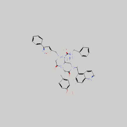 O=C1[C@H](Cc2ccc(O)cc2)N2C(=O)CN(Cc3cc(-c4ccccc4)no3)N(C(=O)NCc3ccccc3)[C@H]2CN1Cc1cccc2ncccc12